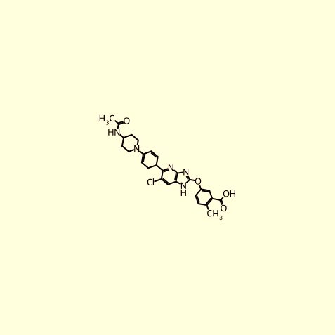 CC(=O)NC1CCN(C2=CCC(c3nc4nc(Oc5ccc(C)c(C(=O)O)c5)[nH]c4cc3Cl)C=C2)CC1